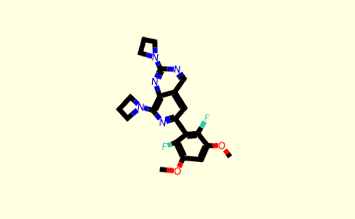 COc1cc(OC)c(F)c(-c2cc3cnc(N4CCC4)nc3c(N3CCC3)n2)c1F